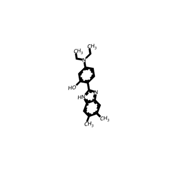 CCN(CC)c1ccc(-c2nc3cc(C)c(C)cc3[nH]2)c(O)c1